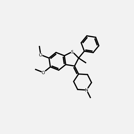 COc1cc2c(cc1OC)C(=C1CCN(C)CC1)C(C)(c1ccccc1)S2